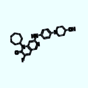 O=c1c(F)cc2cnc(Nc3ccc(N4CCC(O)CC4)cc3)cc2n1C1CCCCCC1